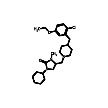 CCOc1ccc(Cl)c(CC2CCN(CC3CN(C4CCCCC4)C(=O)N3C)CC2)c1